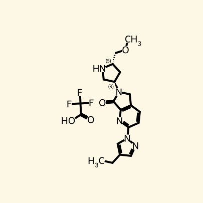 CCc1cnn(-c2ccc3c(n2)C(=O)N([C@H]2CN[C@H](COC)C2)C3)c1.O=C(O)C(F)(F)F